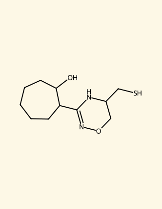 OC1CCCCCC1C1=NOCC(CS)N1